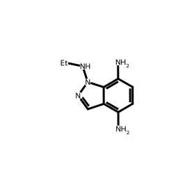 CCNn1ncc2c(N)ccc(N)c21